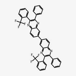 FC(F)(F)c1ccccc1-c1nc2ccc(-c3ccc4nc(-c5ccccc5)c(-c5ccccc5C(F)(F)F)nc4c3)cc2nc1-c1ccccc1